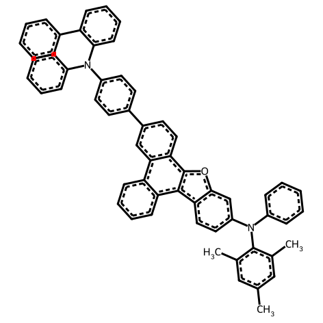 Cc1cc(C)c(N(c2ccccc2)c2ccc3c(c2)oc2c4ccc(-c5ccc(N(c6ccccc6)c6ccccc6-c6ccccc6)cc5)cc4c4ccccc4c32)c(C)c1